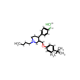 CCCCN1CCC(c2ccc(F)cc2)C(COc2ccc(C(C)(C)C)cc2)C1.Cl